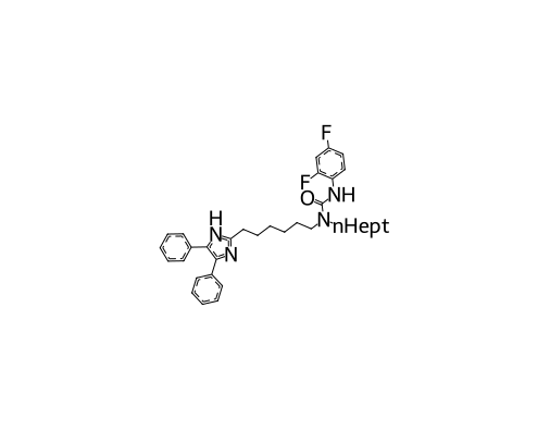 CCCCCCCN(CCCCCCc1nc(-c2ccccc2)c(-c2ccccc2)[nH]1)C(=O)Nc1ccc(F)cc1F